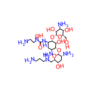 NCCCNC[C@H]1O[C@H](O[C@H]2[C@H](O)[C@@H](O[C@H]3O[C@H](CO)[C@@H](O)[C@H](N)[C@H]3O)[C@H](NC(=O)N(O)CCN)C[C@@H]2N)[C@H](N)C[C@@H]1O